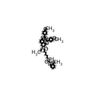 CCCN(C(=O)CCCCCNC(=O)COc1ccccc1OC)C1CCc2c(ccc(OC(=O)c3ccc(OC)cc3)c2OC(=O)c2ccc(OC)cc2)C1